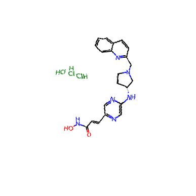 Cl.Cl.Cl.O=C(C=Cc1cnc(N[C@@H]2CCN(Cc3ccc4ccccc4n3)C2)cn1)NO